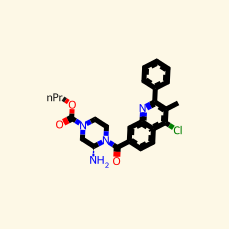 CCCOC(=O)N1CCN(C(=O)c2ccc3c(Cl)c(C)c(-c4ccccc4)nc3c2)[C@H](N)C1